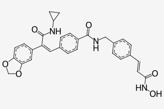 O=C(C=Cc1ccc(CNC(=O)c2ccc(C=C(C(=O)NC3CC3)c3ccc4c(c3)OCO4)cc2)cc1)NO